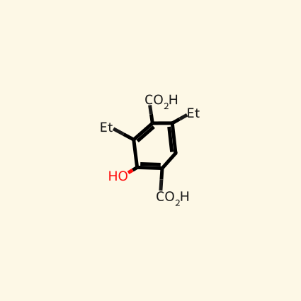 CCc1cc(C(=O)O)c(O)c(CC)c1C(=O)O